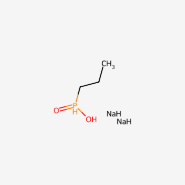 CCC[PH](=O)O.[NaH].[NaH]